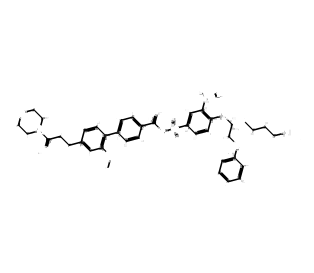 COc1cc(CCC(=O)N2CCOCC2)ccc1-c1ccc(C(=O)NS(=O)(=O)c2ccc(N[C@H](CCCCN)CSc3ccccc3)c([N+](=O)[O-])c2)cc1